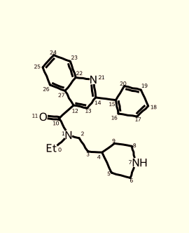 CCN(CCC1CCNCC1)C(=O)c1cc(-c2ccccc2)nc2ccccc12